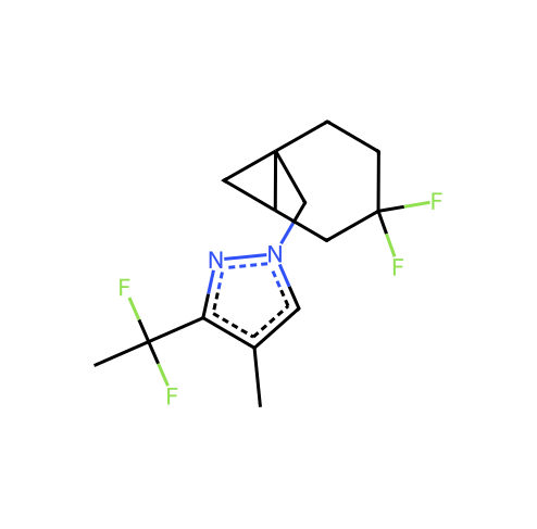 Cc1cn(CC23CCC(F)(F)CC2C3)nc1C(C)(F)F